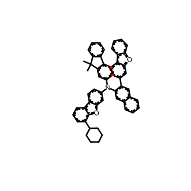 CC1(C)c2ccccc2-c2ccc(N(c3ccc4c(c3)oc3c(C5CCCCC5)cccc34)c3cc4ccccc4cc3-c3ccc4c(c3)oc3ccccc34)cc21